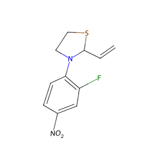 C=CC1SCCN1c1ccc([N+](=O)[O-])cc1F